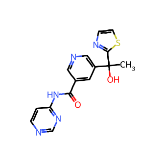 CC(O)(c1cncc(C(=O)Nc2ccncn2)c1)c1nccs1